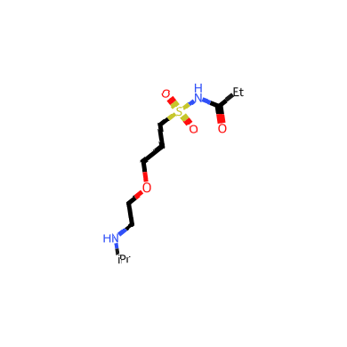 CCC(=O)NS(=O)(=O)CCCOCCNC(C)C